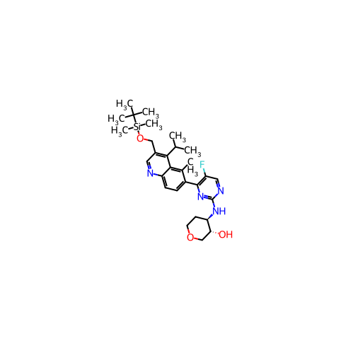 Cc1c(-c2nc(N[C@@H]3CCOC[C@H]3O)ncc2F)ccc2ncc(CO[Si](C)(C)C(C)(C)C)c(C(C)C)c12